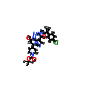 CC(C)(C)OC(=O)N1CCC(c2cc(=O)[nH]c3c(-c4nnc(C5(c6ccc(Cl)cc6)CC5)o4)cnn23)CC1